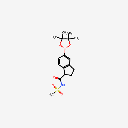 CC1(C)OB(c2ccc3c(c2)CCC3C(=O)NS(C)(=O)=O)OC1(C)C